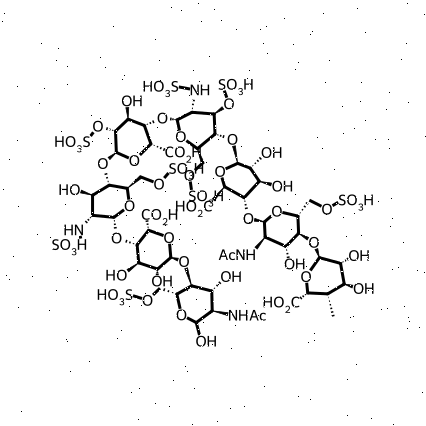 CC(=O)N[C@H]1[C@@H](O[C@H]2[C@H](O)[C@@H](O)[C@H](O[C@H]3[C@H](OS(=O)(=O)O)[C@@H](NS(=O)(=O)O)[C@@H](O[C@H]4[C@H](O)[C@@H](OS(=O)(=O)O)[C@H](O[C@H]5[C@H](O)[C@@H](NS(=O)(=O)O)[C@@H](O[C@H]6[C@H](O)[C@@H](O)[C@H](O[C@H]7[C@H](O)[C@@H](NC(C)=O)C(O)O[C@@H]7COS(=O)(=O)O)O[C@H]6C(=O)O)O[C@@H]5COS(=O)(=O)O)O[C@H]4C(=O)O)O[C@@H]3COS(=O)(=O)O)O[C@@H]2C(=O)O)O[C@H](COS(=O)(=O)O)[C@@H](O[C@@H]2O[C@@H](C(=O)O)[C@@H](C)[C@H](O)[C@H]2O)[C@@H]1O